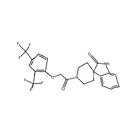 O=C(COc1ccc(C(F)(F)F)cc1C(F)(F)F)N1CCC2(CC1)C(=O)Nc1ccccc12